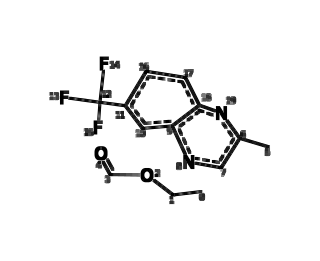 CCOC=O.Cc1cnc2cc(C(F)(F)F)ccc2n1